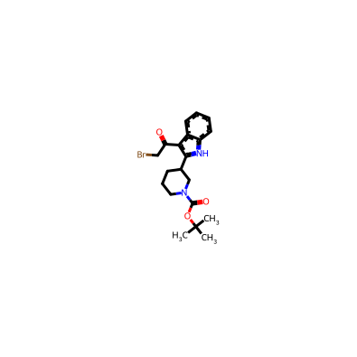 CC(C)(C)OC(=O)N1CCCC(c2[nH]c3ccccc3c2C(=O)CBr)C1